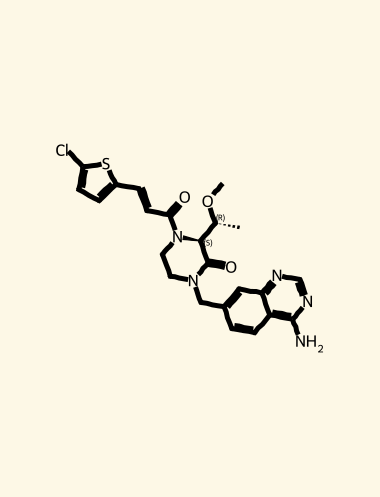 CO[C@H](C)[C@H]1C(=O)N(Cc2ccc3c(N)ncnc3c2)CCN1C(=O)C=Cc1ccc(Cl)s1